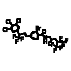 O=C(CNC(=O)c1ccc(/C=C/C(c2cc(Cl)c(Cl)c(Cl)c2)C(F)(F)F)cc1Br)CC(C(F)(F)F)C(F)(F)F